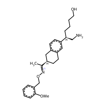 COc1ccccc1CO/N=C(\C)[C@@H]1CCc2cc([C@H](CN)CCCCO)ccc2C1